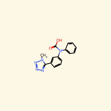 Cn1nnnc1-c1cccc(N(C(=O)O)c2ccccc2)c1